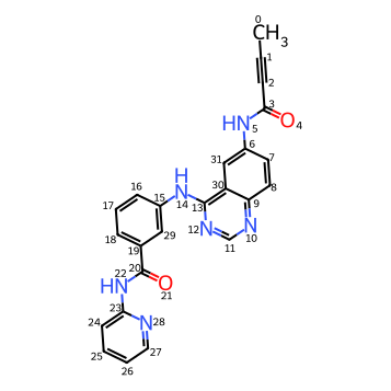 CC#CC(=O)Nc1ccc2ncnc(Nc3cccc(C(=O)Nc4ccccn4)c3)c2c1